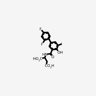 O=C(O)CC(NC(=O)c1cc(-c2ccc(F)cc2F)cc(I)c1O)C(=O)O